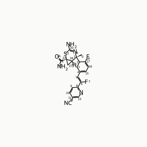 C[C@]1(C2CC(/C=C(\F)c3ccc(C#N)cn3)=CC=C2F)N=C(N)S[C@@]2(C(N)=O)C[C@H]21